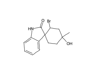 CC1(O)CCC2(C(=O)Nc3ccccc32)C(Br)C1